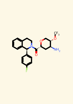 N[C@H]1C[C@H](C(=O)N2CCc3ccccc3[C@@H]2c2ccc(F)cc2)OC[C@@H]1OC(F)(F)F